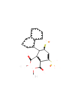 COC(=O)C1=C(C(=O)OC)C(c2cccc3ccccc23)C(=S(=O)=O)C=C1S(=O)(=O)O